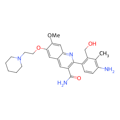 COc1cc2nc(-c3ccc(N)c(C)c3CO)c(C(N)=O)cc2cc1OCCN1CCCCC1